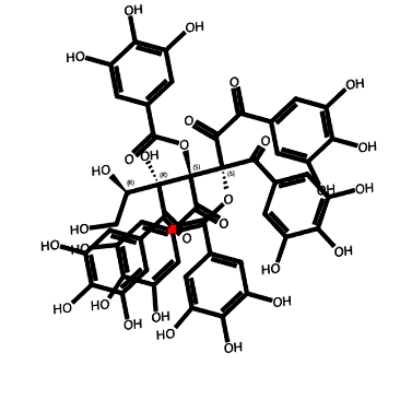 O=C(O[C@](C(=O)C(=O)c1cc(O)c(O)c(O)c1)(C(=O)c1cc(O)c(O)c(O)c1)[C@](OC(=O)c1cc(O)c(O)c(O)c1)(C(=O)c1cc(O)c(O)c(O)c1)[C@@](O)(C(=O)c1cc(O)c(O)c(O)c1)[C@H](O)CO)c1cc(O)c(O)c(O)c1